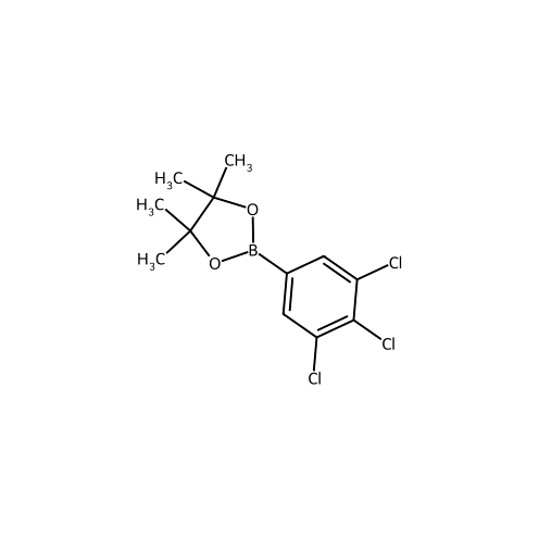 CC1(C)OB(c2cc(Cl)c(Cl)c(Cl)c2)OC1(C)C